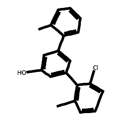 Cc1ccccc1-c1cc(O)cc(-c2c(C)cccc2Cl)c1